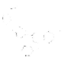 O=C(c1ccc(O[C@@H]2CCN(CCF)C2)cc1)c1c(-c2ccc(O)cc2)sc2cc(O)ccc12